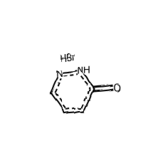 Br.O=c1cccn[nH]1